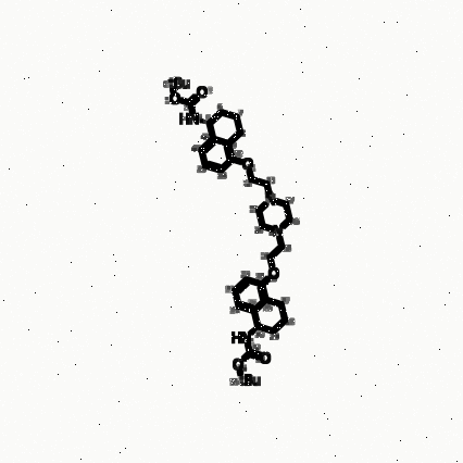 CC(C)(C)OC(=O)N[C@@H]1CCCc2c(OCCN3CCN(CCOc4cccc5c4CCC[C@H]5NC(=O)OC(C)(C)C)CC3)cccc21